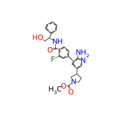 COC(=O)N1CCC(c2cnc(N)c(-c3ccc(C(=O)NC(CO)c4ccccc4)c(F)c3)c2)C1